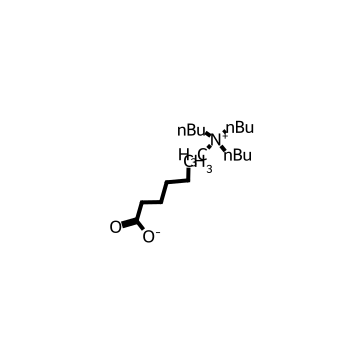 CCCCCC(=O)[O-].CCCC[N+](C)(CCCC)CCCC